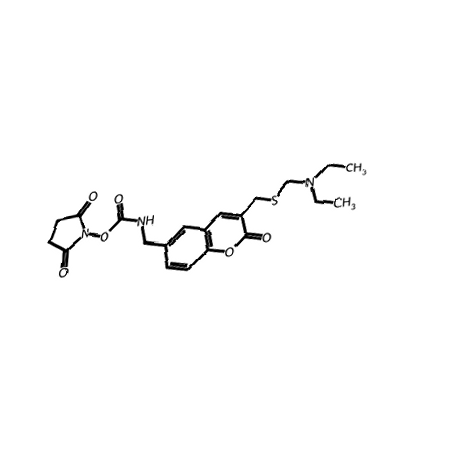 CCN(CC)CSCc1cc2cc(CNC(=O)ON3C(=O)CCC3=O)ccc2oc1=O